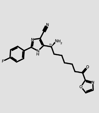 N#Cc1nc(-c2ccc(F)cc2)[nH]c1[C@@H](N)CCCCCC(=O)c1ncco1